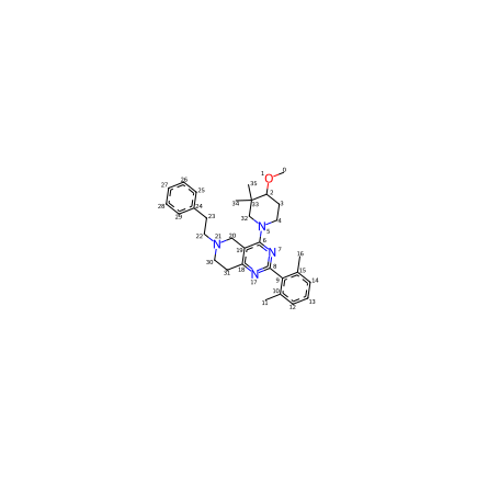 COC1CCN(c2nc(-c3c(C)cccc3C)nc3c2CN(CCc2ccccc2)CC3)CC1(C)C